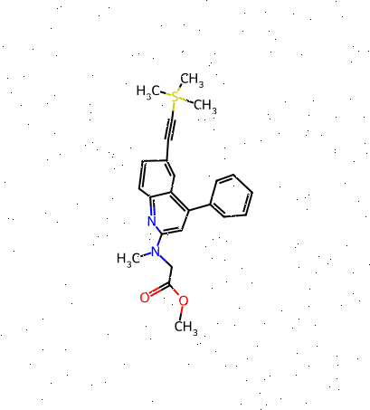 COC(=O)CN(C)c1cc(-c2ccccc2)c2cc(C#CS(C)(C)C)ccc2n1